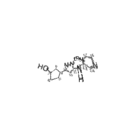 CC(C)(C)n1nc(C2CCC(O)C2)cc1Nc1cnccn1